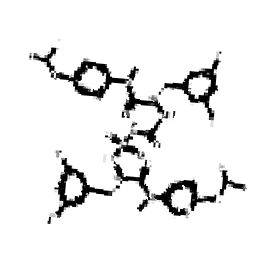 CN(C(=O)[C@H](Cc1cc(F)cc(F)c1)NC(=O)NS(=O)(=O)N[C@@H](Cc1cc(F)cc(F)c1)C(=O)N(C)c1ccc(OC(F)F)nc1)c1ccc(OC(F)F)cc1